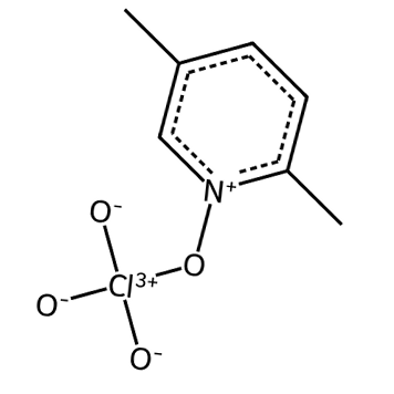 Cc1ccc(C)[n+](O[Cl+3]([O-])([O-])[O-])c1